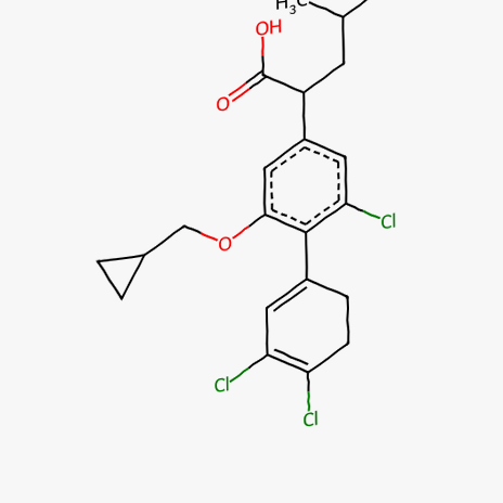 CC(C)CC(C(=O)O)c1cc(Cl)c(C2=CC(Cl)=C(Cl)CC2)c(OCC2CC2)c1